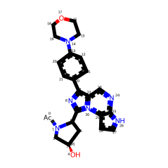 CC(=O)N1C[C@H](O)CC1c1nc(-c2ccc(N3CCOCC3)cc2)c2cnc3[nH]ccc3n12